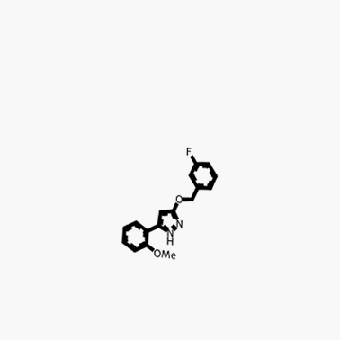 COc1ccccc1-c1cc(OCc2cccc(F)c2)n[nH]1